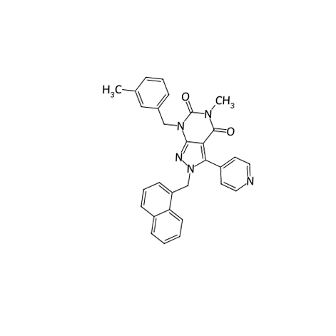 Cc1cccc(Cn2c(=O)n(C)c(=O)c3c(-c4ccncc4)n(Cc4cccc5ccccc45)nc32)c1